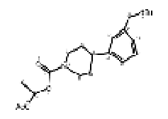 CC(=O)OC(C)OC(=O)N1CCC(c2cccc(CC(C)(C)C)c2)CC1